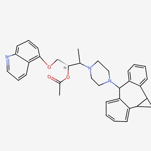 CC(=O)O[C@H](COc1cccc2ncccc12)C(C)N1CCN(C2c3ccccc3C3CC3c3ccccc32)CC1